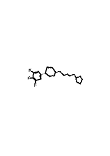 Fc1cc([C@H]2CC[C@H](CCCCCC3CCCC3)CC2)cc(F)c1F